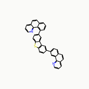 c1cnc2c(c1)ccc1ccc(-c3ccc4sc5ccc(-c6cccc7ccc8cccnc8c67)cc5c4c3)cc12